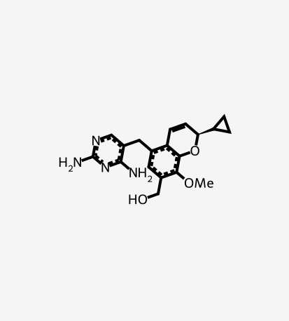 COc1c(CO)cc(Cc2cnc(N)nc2N)c2c1O[C@H](C1CC1)C=C2